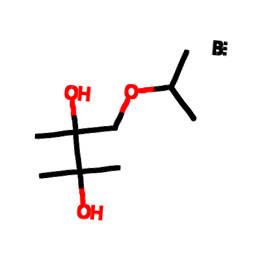 CC(C)OCC(C)(O)C(C)(C)O.[B]